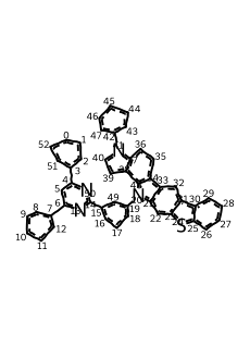 c1ccc(-c2cc(-c3ccccc3)nc(-c3cccc(-n4c5cc6sc7ccccc7c6cc5c5ccc6c(ccn6-c6ccccc6)c54)c3)n2)cc1